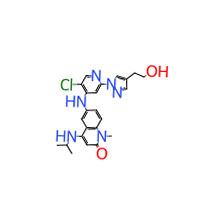 CC(C)Nc1cc(=O)n(C)c2ccc(Nc3cc(-n4cc(CCO)cn4)ncc3Cl)cc12